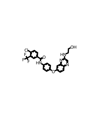 O=C(Nc1ccc(Oc2ccc3ncc(NCCO)nc3c2)cc1)c1ccc(Cl)c(C(F)(F)F)c1